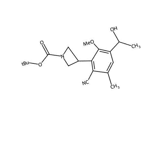 COc1c(C(C)O)cc(C)c(C#N)c1C1CN(C(=O)OC(C)(C)C)C1